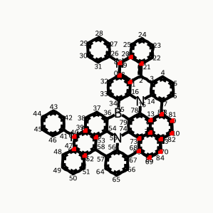 C1=CC(c2cccc(-c3ccccc3)c2N2c3cc(N(c4ccccc4)c4ccccc4)ccc3B3c4ccc(N(c5ccccc5)c5ccccc5)cc4N(c4c(-c5ccccc5)cccc4-c4ccccc4)c4c5c6c(c2c43)CCCN6CCC5)=CCC1